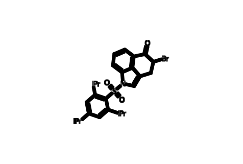 CC(C)c1cc(C(C)C)c(S(=O)(=O)n2cc3c4c(cccc42)C(=O)C(Br)C3)c(C(C)C)c1